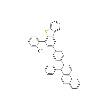 FC(F)(F)c1ccccc1-c1cc(-c2ccc(C3C=Cc4c(ccc5ccccc45)C3c3ccccc3)cc2)cc2c1sc1ccccc12